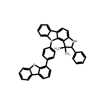 CC1(C)c2c(ccc3c4ccccc4n(-c4ccc(-c5cccc6c5sc5ccccc56)cc4)c23)NC1c1ccccc1